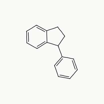 c1ccc([C]2CCc3ccccc32)cc1